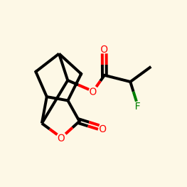 CC(F)C(=O)OC1C2CC3C(=O)OC1C3C2